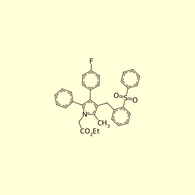 CCOC(=O)Cn1c(C)c(Cc2ccccc2S(=O)(=O)c2ccccc2)c(-c2ccc(F)cc2)c1-c1ccccc1